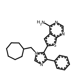 Nc1ncnc2sc(-c3c(-c4ccccc4)ncn3CC3CCCCCC3)cc12